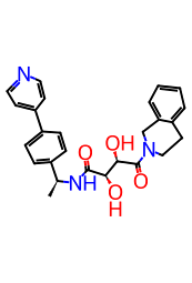 C[C@H](NC(=O)[C@H](O)[C@@H](O)C(=O)N1CCc2ccccc2C1)c1ccc(-c2ccncc2)cc1